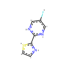 Fc1cnc(-c2nc[c]s2)nc1